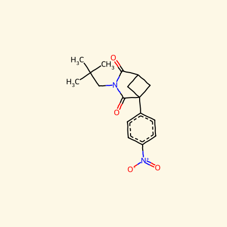 CC(C)(C)CN1C(=O)C2CC(c3ccc([N+](=O)[O-])cc3)(C2)C1=O